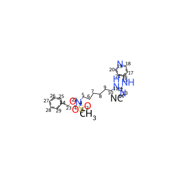 CS(=O)(=O)N(CCCCCCN/C(=N\C#N)Nc1ccncc1)OCc1ccccc1